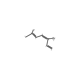 C=C/C(Br)=C\C=C(C)C